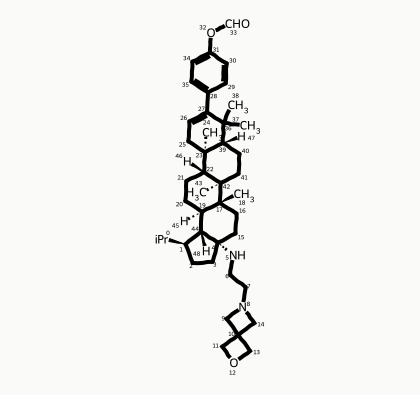 CC(C)[C@@H]1CC[C@]2(NCCN3CC4(COC4)C3)CC[C@]3(C)[C@H](CC[C@@H]4[C@@]5(C)CC=C(c6ccc(OC=O)cc6)C(C)(C)[C@@H]5CC[C@]43C)[C@@H]12